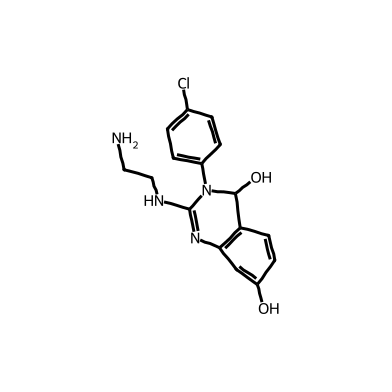 NCCNC1=Nc2cc(O)ccc2C(O)N1c1ccc(Cl)cc1